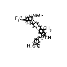 CNc1nc(NC2CCN(Cc3ccc4c(cc(C#N)n4CCN4CCN(C)C(=O)C4)c3C)CC2)c2cc(CC(F)(F)F)sc2n1